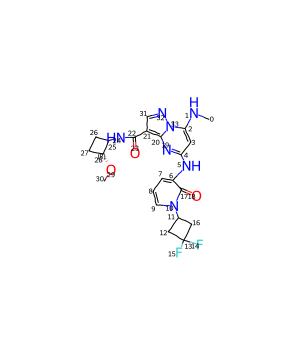 CNc1cc(Nc2cccn(C3CC(F)(F)C3)c2=O)nc2c(C(=O)NC3CC[C@H]3OC)cnn12